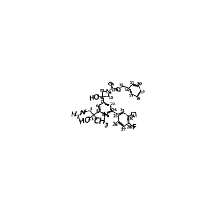 CC(O)(CN)c1cc(C2(O)CN(C(=O)OCc3ccccc3)C2)cc(-c2ccc(F)c(Cl)c2)n1